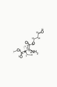 CC[C@@](C)(C(=O)OC)[C@H](N)C(=O)OCC[C]=O